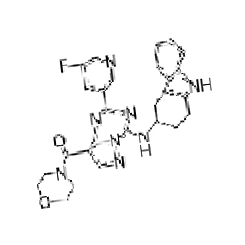 O=C(c1cnn2c(NC3CCc4[nH]c5ccccc5c4C3)nc(-c3cncc(F)c3)nc12)N1CCOCC1